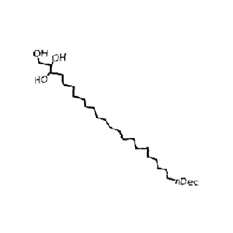 CCCCCCCCCCCCCCCCCCCCCCCCCCCCCCC(O)C(O)CO